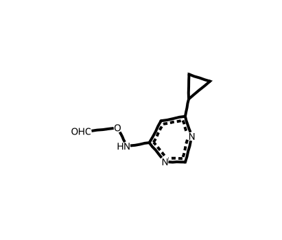 O=CONc1cc(C2CC2)ncn1